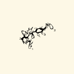 N#Cc1cnn(CC(F)(F)F)c1NC(=O)c1ccc([N+](=O)[O-])cc1